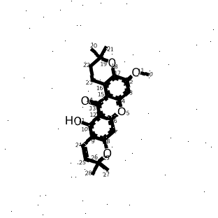 COc1cc2oc3cc4c(c(O)c3c(=O)c2c2c1OC(C)(C)CC2)C=CC(C)(C)O4